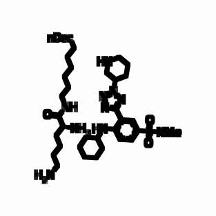 CCCCCCCCCCCCCCCCNC(=O)[C@@H](N)CCCCN.CNS(=O)(=O)c1ccc(NC2CCCCC2)c(-c2nnn(C3CCCNC3)n2)c1